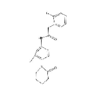 Cc1cc(NC(=O)Cc2ccccc2F)ccc1N1CCCCC1=O